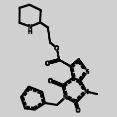 Cn1c(=O)n(Cc2ccccc2)c(=O)c2c(C(=O)OCCC3CCCCN3)csc21